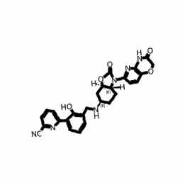 N#Cc1cccc(-c2cccc(CN[C@@H]3CC[C@@H]4[C@@H](C3)OC(=O)N4c3ccc4c(n3)NC(=O)CO4)c2O)n1